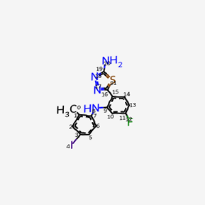 Cc1cc(I)ccc1Nc1cc(F)ccc1-c1nnc(N)s1